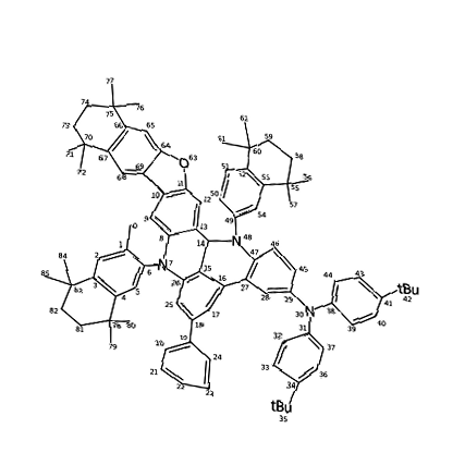 Cc1cc2c(cc1N1c3cc4c(cc3C3c5c(cc(-c6ccccc6)cc51)-c1cc(N(c5ccc(C(C)(C)C)cc5)c5ccc(C(C)(C)C)cc5)ccc1N3c1ccc3c(c1)C(C)(C)CCC3(C)C)oc1cc3c(cc14)C(C)(C)CCC3(C)C)C(C)(C)CCC2(C)C